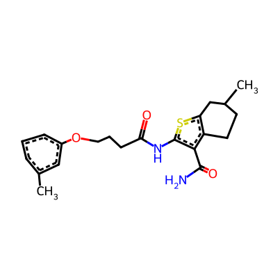 Cc1cccc(OCCCC(=O)Nc2sc3c(c2C(N)=O)CCC(C)C3)c1